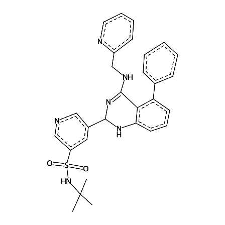 CC(C)(C)NS(=O)(=O)c1cncc(C2N=C(NCc3ccccn3)c3c(cccc3-c3ccccc3)N2)c1